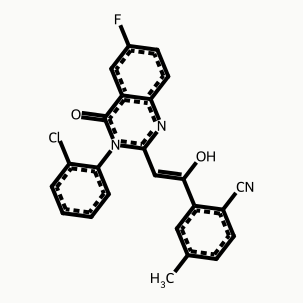 Cc1ccc(C#N)c(C(O)=Cc2nc3ccc(F)cc3c(=O)n2-c2ccccc2Cl)c1